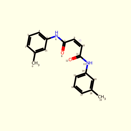 Cc1cccc(NC(=O)/C=C\C(=O)Nc2cccc(C)c2)c1